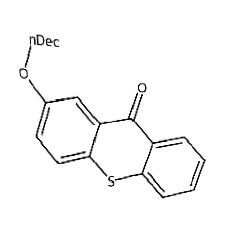 CCCCCCCCCCOc1ccc2sc3ccccc3c(=O)c2c1